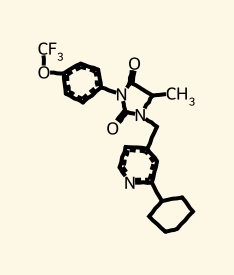 CC1C(=O)N(c2ccc(OC(F)(F)F)cc2)C(=O)N1Cc1ccnc(C2CCCCC2)c1